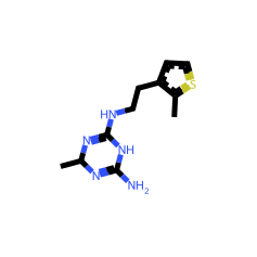 Cc1sccc1CCNC1=NC(C)N=C(N)N1